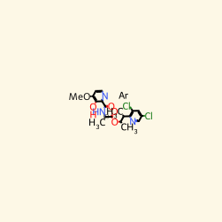 COc1ccnc(C(=O)N[C@@H](C)C(=O)OC(C)C(C)c2ncc(Cl)cc2Cl)c1O.[Ar]